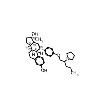 CCCC(COc1ccc([C@H]2C[C@]3(C)[C@@H](O)CC[C@H]3[C@@H]3CCc4cc(O)ccc4[C@H]32)cc1)N1CCCC1